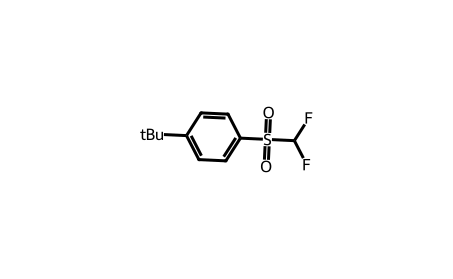 CC(C)(C)c1ccc(S(=O)(=O)C(F)F)cc1